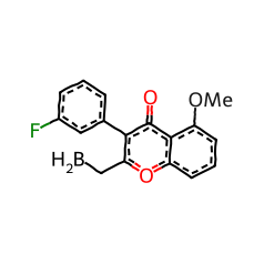 BCc1oc2cccc(OC)c2c(=O)c1-c1cccc(F)c1